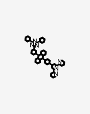 c1ccc(-c2nc(-c3ccccc3)nc(-c3cccc(-c4c5ccccc5c(-c5ccc(-c6cc(-c7ccccn7)nc(-c7ccccn7)c6)cc5)c5ccccc45)c3)n2)cc1